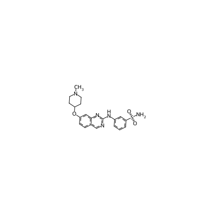 CN1CCC(Oc2ccc3cnc(Nc4cccc(S(N)(=O)=O)c4)nc3c2)CC1